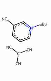 CCCC[n+]1cccc(C#N)c1.N#C[C-](C#N)C#N